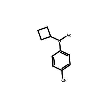 CC(=O)N(c1ccc(C#N)cc1)C1CCC1